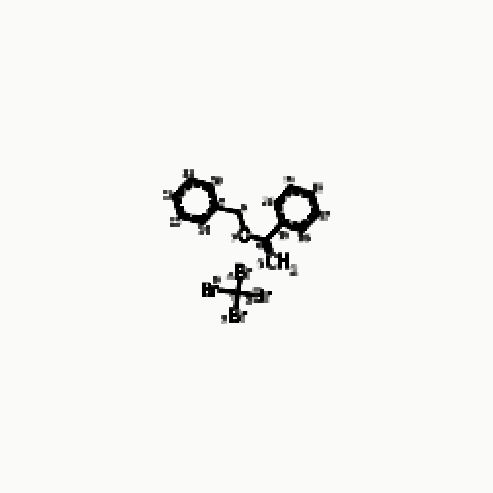 BrC(Br)(Br)Br.C=C(OCc1ccccc1)c1ccccc1